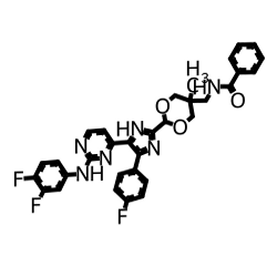 CC1(CNC(=O)c2ccccc2)COC(c2nc(-c3ccc(F)cc3)c(-c3ccnc(Nc4ccc(F)c(F)c4)n3)[nH]2)OC1